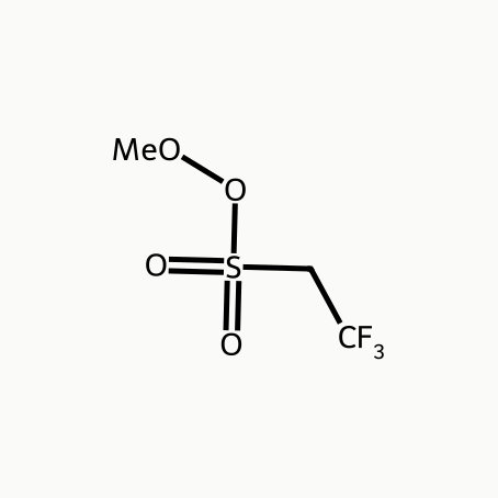 COOS(=O)(=O)CC(F)(F)F